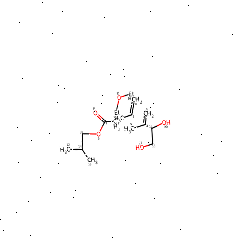 C=CC.C=CC.CC(=O)OCC(C)C.CCOCC.OCCO